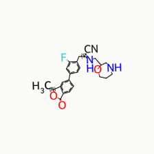 C[C@H]1OC(=O)c2ccc(-c3ccc(C[C@@H](C#N)NCC4CNCCCO4)c(F)c3)cc21